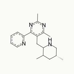 Cc1nc(C)c(CC2NC[C@H](C)CC2C)c(-c2ccccn2)n1